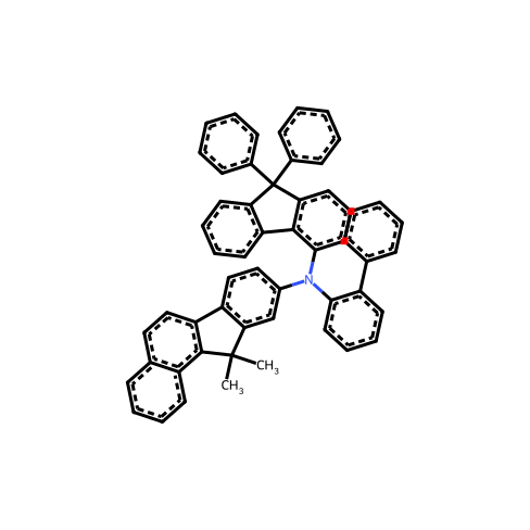 CC1(C)c2cc(N(c3ccccc3-c3ccccc3)c3cccc4c3-c3ccccc3C4(c3ccccc3)c3ccccc3)ccc2-c2ccc3ccccc3c21